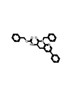 O=C(NC1Cc2cc(-c3ccccc3)cnc2N(Cc2ccccc2)C1=O)OCc1ccccc1